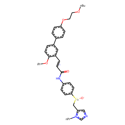 CCCCOCCOc1ccc(-c2ccc(OC(C)C)c(/C=C/C(=O)Nc3ccc([S@+]([O-])Cc4cncn4CCC)cc3)c2)cc1